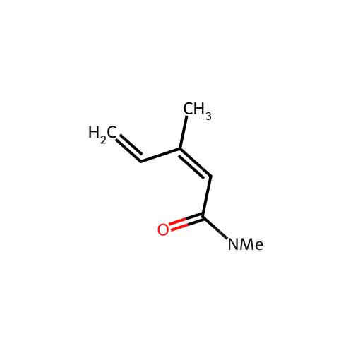 C=C/C(C)=C\C(=O)NC